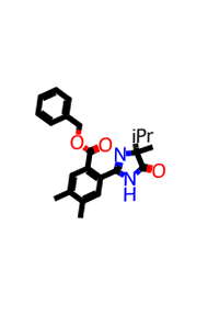 Cc1cc(C(=O)OCc2ccccc2)c(C2=NC(C)(C(C)C)C(=O)N2)cc1C